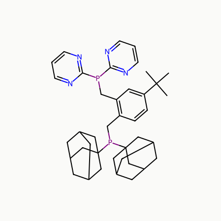 CC(C)(C)c1ccc(CP(C23CC4CC(CC(C4)C2)C3)C23CC4CC(CC(C4)C2)C3)c(CP(c2ncccn2)c2ncccn2)c1